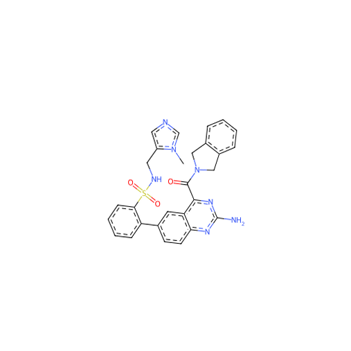 Cn1cncc1CNS(=O)(=O)c1ccccc1-c1ccc2nc(N)nc(C(=O)N3Cc4ccccc4C3)c2c1